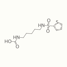 O=C(O)NCCCCCNS(=O)(=O)c1cccs1